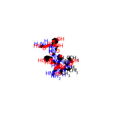 CC(C)C[C@H](NC(=O)[C@@H](NC(=O)[C@H](CCCNC(=N)N)NC(=O)[C@H](Cc1ccccc1)NC(=O)[C@H](CO)NC(=O)[C@H](Cc1ccc(O)cc1)NC(=O)CNC(=O)[C@H](CO)NC(=O)[C@H](Cc1ccc(O)cc1)NC(=O)CNC(=O)[C@@H](N)CO)[C@@H](C)O)C(=O)N[C@@H](CS)C(=O)N[C@H](C(=O)O)C(C)C